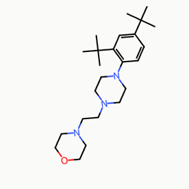 CC(C)(C)c1ccc(N2CCN(CCN3CCOCC3)CC2)c(C(C)(C)C)c1